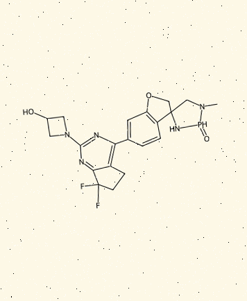 CN1CC2(COc3cc(-c4nc(N5CC(O)C5)nc5c4CCC5(F)F)ccc32)N[PH]1=O